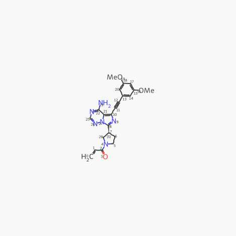 C=CC(=O)N1CC[C@H](c2nc(C#Cc3cc(OC)cc(OC)c3)c3c(N)ncnn23)C1